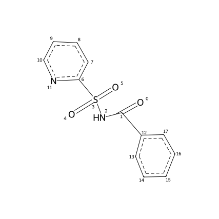 O=C(NS(=O)(=O)c1ccccn1)c1ccccc1